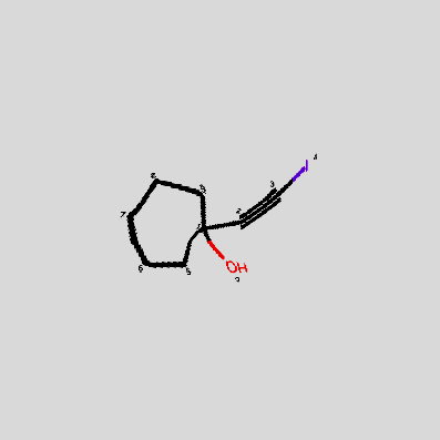 OC1(C#CI)CCCCC1